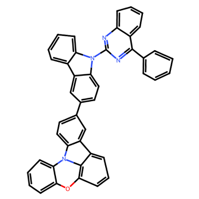 c1ccc(-c2nc(-n3c4ccccc4c4cc(-c5ccc6c(c5)c5cccc7c5n6-c5ccccc5O7)ccc43)nc3ccccc23)cc1